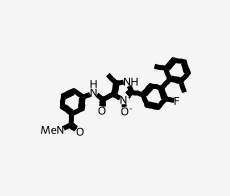 CNC(=O)c1cccc(NC(=O)c2c(C)[nH]c(-c3ccc(F)c(-c4c(C)cccc4C)c3)[n+]2[O-])c1